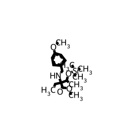 CCC(NCc1ccc(OC)cc1)(C(=O)OC)C(C)O[Si](C)(C)C